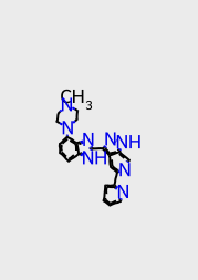 CN1CCN(c2cccc3[nH]c(-c4n[nH]c5cnc(-c6ccccn6)cc45)nc23)CC1